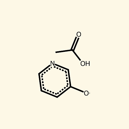 CC(=O)O.[O]c1cccnc1